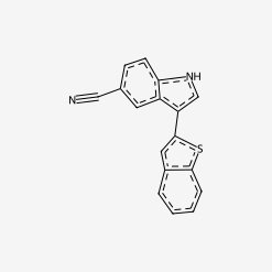 N#Cc1ccc2[nH]cc(-c3cc4ccccc4s3)c2c1